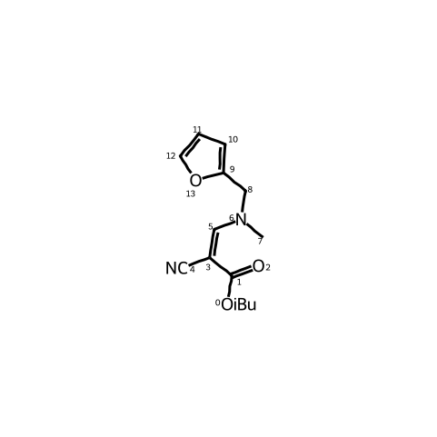 CC(C)COC(=O)C(C#N)=CN(C)Cc1ccco1